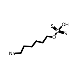 OS(=S)(=S)OCCCCC[CH2][Na]